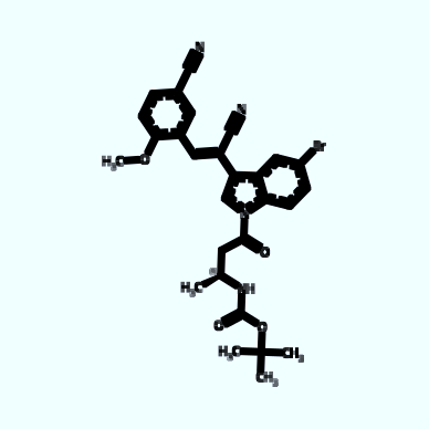 COc1ccc(C#N)cc1C=C(C#N)c1cn(C(=O)C[C@H](C)NC(=O)OC(C)(C)C)c2ccc(Br)cc12